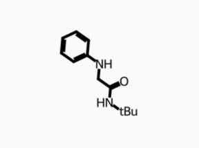 CC(C)(C)NC(=O)CNc1ccccc1